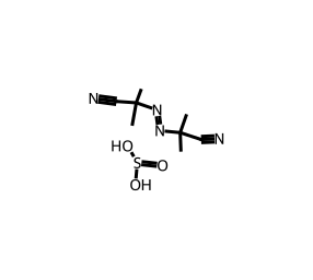 CC(C)(C#N)N=NC(C)(C)C#N.O=S(O)O